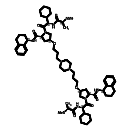 CN[C@@H](C)C(=O)N[C@H](C(=O)N1C[C@@H](OCCCN2CCN(CCCO[C@H]3C[C@@H](C(=O)N[C@@H]4CCCc5ccccc54)N(C(=O)[C@@H](NC(=O)[C@H](C)NC)C4CCCCC4)C3)CC2)C[C@H]1C(=O)N[C@@H]1CCCc2ccccc21)C1CCCCC1